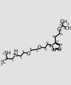 CC(S)CNCCOCCOCCn1nncc1CCOC(C)C